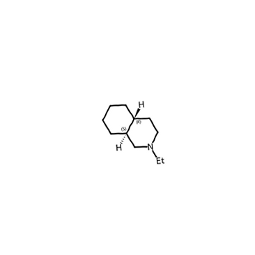 CCN1CC[C@H]2CCCC[C@@H]2C1